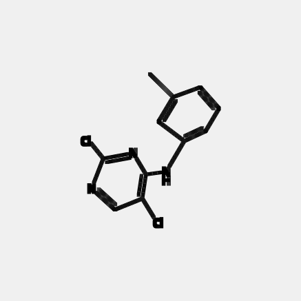 Cc1cccc(Nc2nc(Cl)ncc2Cl)c1